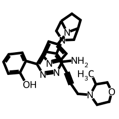 CC1COCCN1CC#Cc1cc(N2C3CCC2CN(c2cc(-c4ccccc4O)nnc2N)C3)ccn1